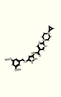 COc1cc(COc2cc(NC(=O)c3cnc(N4CCN(C5CC5)CC4)nc3)[nH]n2)cc(OC)c1